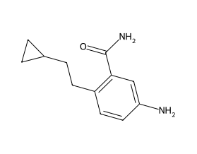 NC(=O)c1cc(N)ccc1CCC1CC1